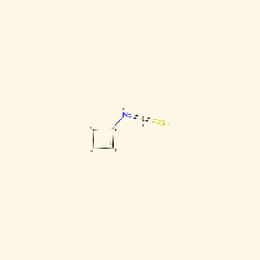 S=C=NC1=CCC1